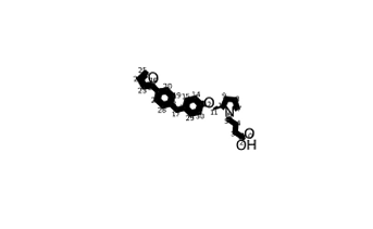 O=C(O)CCCN1CCC[C@@H]1COc1ccc(Cc2ccc(-c3ccco3)cc2)cc1